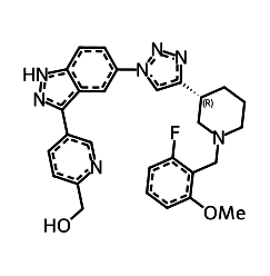 COc1cccc(F)c1CN1CCC[C@@H](c2cn(-c3ccc4[nH]nc(-c5ccc(CO)nc5)c4c3)nn2)C1